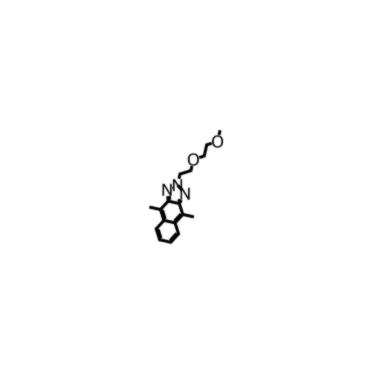 COCCOCCn1nc2c(C)c3ccccc3c(C)c2n1